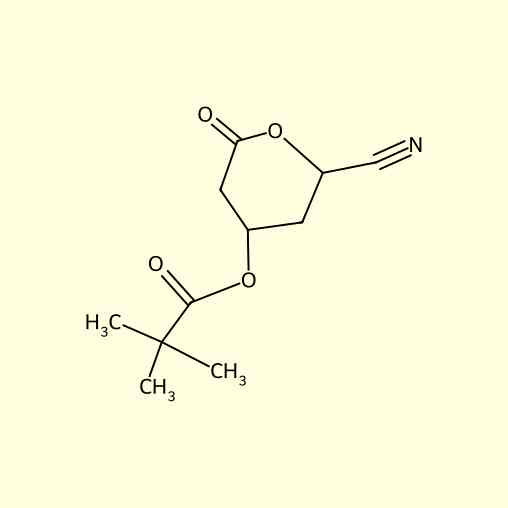 CC(C)(C)C(=O)OC1CC(=O)OC(C#N)C1